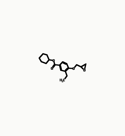 CCc1cc(C(=O)OC2CCCCC2)ccc1OCC1CO1